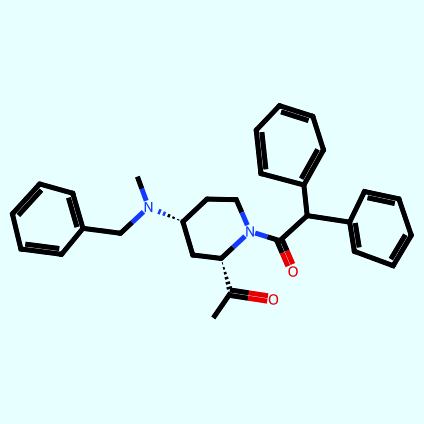 CC(=O)[C@@H]1C[C@H](N(C)Cc2ccccc2)CCN1C(=O)C(c1ccccc1)c1ccccc1